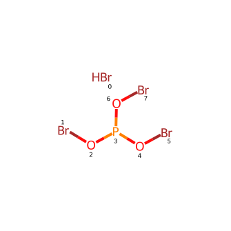 Br.BrOP(OBr)OBr